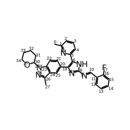 Cc1cccc(-c2[nH]c(/N=C/c3ccccc3F)nc2-c2ccc3c(c2)c(C)nn3C2CCCCO2)n1